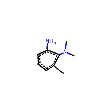 Cc1cccc(N)c1N(C)C